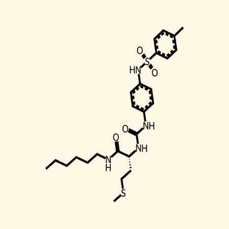 CCCCCCNC(=O)[C@@H](CCSC)NC(=O)Nc1ccc(NS(=O)(=O)c2ccc(C)cc2)cc1